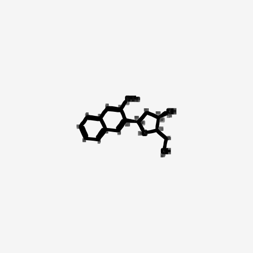 COc1cc2ccccc2cc1[C@H]1C[C@@H](O)C(CO)O1